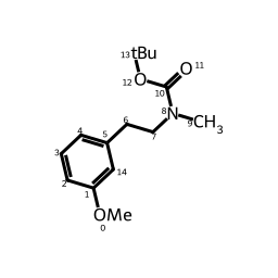 COc1cccc(CCN(C)C(=O)OC(C)(C)C)c1